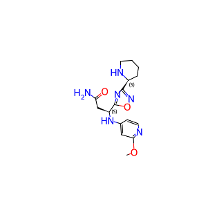 COc1cc(N[C@@H](CC(N)=O)c2nc([C@@H]3CCCCN3)no2)ccn1